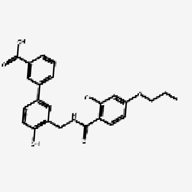 CCCOc1ccc(C(=O)NCc2cc(-c3cccc(C(=O)O)c3)ccc2O)c(Cl)c1